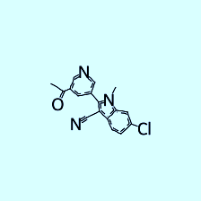 CC(=O)c1cncc(-c2c(C#N)c3ccc(Cl)cc3n2C)c1